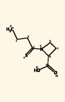 CCCC(=S)N1CCC1C(=O)O